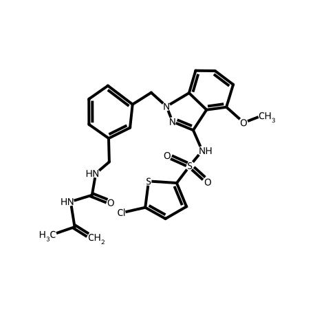 C=C(C)NC(=O)NCc1cccc(Cn2nc(NS(=O)(=O)c3ccc(Cl)s3)c3c(OC)cccc32)c1